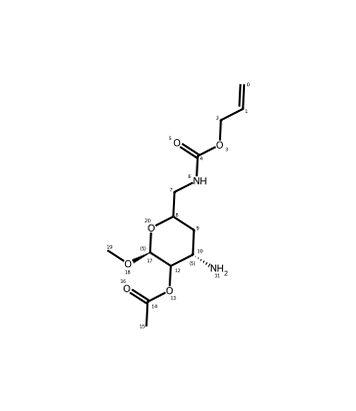 C=CCOC(=O)NCC1C[C@H](N)C(OC(C)=O)[C@@H](OC)O1